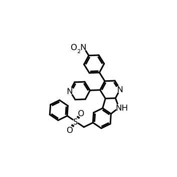 O=[N+]([O-])c1ccc(C2=C(C3=CC=NCC3)C3c4cc(CS(=O)(=O)c5ccccc5)ccc4NC3N=C2)cc1